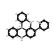 c1ccc(-c2ccc3c4c2Oc2ccccc2B4c2ccccc2O3)nc1